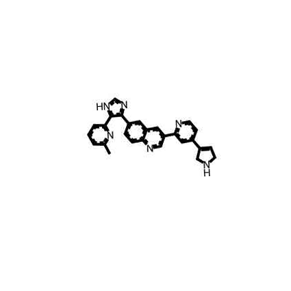 Cc1cccc(-c2[nH]cnc2-c2ccc3ncc(-c4cc(C5=CCNC5)ccn4)cc3c2)n1